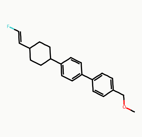 COCc1ccc(-c2ccc(C3CCC(C=CF)CC3)cc2)cc1